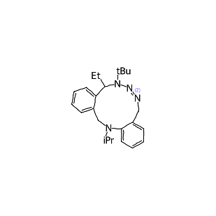 CCC1c2ccccc2CN(C(C)C)c2ccccc2C/N=N\N1C(C)(C)C